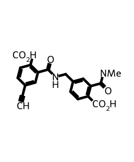 C#Cc1ccc(C(=O)O)c(C(=O)NCc2ccc(C(=O)O)c(C(=O)NC)c2)c1